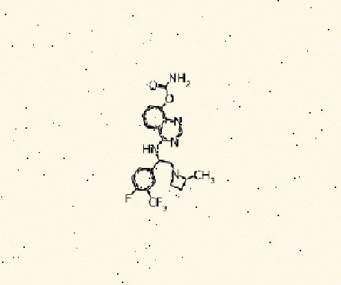 C[C@H]1CCN1CC(Nc1ncnc2c(OC(N)=O)cccc12)c1ccc(F)c(C(F)(F)F)c1